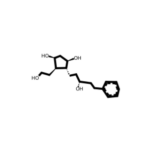 OCC[C@@H]1[C@@H](CC[C@@H](O)CCc2ccccc2)[C@H](O)C[C@@H]1O